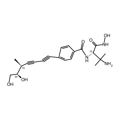 C[C@@H](C#CC#Cc1ccc(C(=O)N[C@H](C(=O)NO)C(C)(C)N)cc1)[C@@H](O)CO